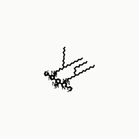 CCCCCCCCCCC(CCCCCCCCCC)CCCCn1nc2c(-c3ccc(-c4cnc(-c5cccs5)c5nn(CCCCC(CCCCCCCCCC)CCCCCCCCCC)nc45)c4nsnc34)cnc(-c3cccs3)c2n1